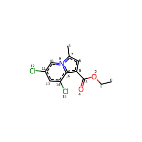 CCOC(=O)c1cc(C)n2cc(Cl)cc(Cl)c12